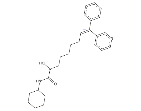 O=C(NC1CCCCC1)N(O)CCCCC/C=C(/c1ccccc1)c1cccnc1